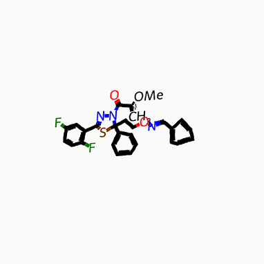 CO[C@@H](C)C(=O)N1N=C(c2cc(F)ccc2F)SC1(CCON=Cc1ccccc1)c1ccccc1